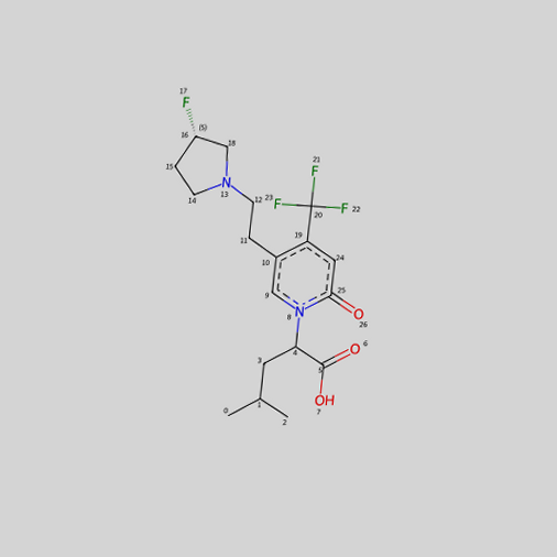 CC(C)CC(C(=O)O)n1cc(CCN2CC[C@H](F)C2)c(C(F)(F)F)cc1=O